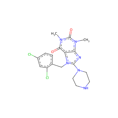 Cn1c(=O)c2c(nc(N3CCNCC3)n2Cc2ccc(Cl)cc2Cl)n(C)c1=O